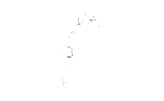 CCCCCCCCCCC=Cc1ccc(-c2ccc([C@H]3CC[C@H](F)CC3)cc2)cc1